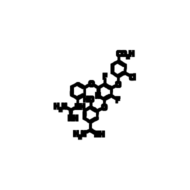 N=C(N)Nc1cccc(Oc2nc(Oc3cc(C(=N)N)ccc3O)c(F)c(Oc3ccc(C(=O)O)cc3Cl)c2F)c1